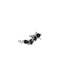 CCn1c(N2CCc3c(cnn3S(=O)(=O)c3ccc(C)cc3)C2)nnc1C(C)(C)Oc1c(F)cc(F)cc1F